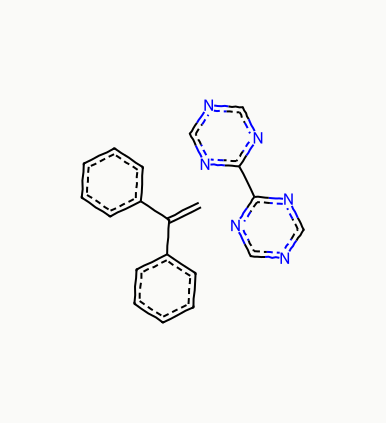 C=C(c1ccccc1)c1ccccc1.c1ncnc(-c2ncncn2)n1